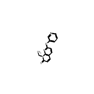 CCn1c(=O)ccc2ccc(Oc3cccnc3)nc21